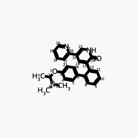 CC(Oc1ccc(-c2ccccc2-c2cc(-c3ccccn3)c[nH]c2=O)cc1)N(C)C